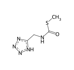 CSC(=O)NCc1nnn[nH]1